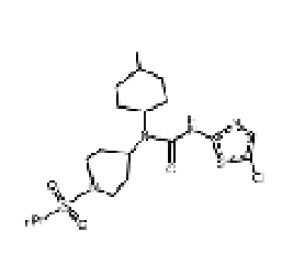 CCCS(=O)(=O)N1CCC(N(C(=O)Nc2ncc(Cl)s2)C2CCC(C)CC2)CC1